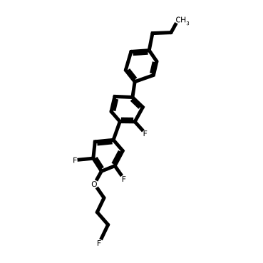 CCCc1ccc(-c2ccc(-c3cc(F)c(OCCCF)c(F)c3)c(F)c2)cc1